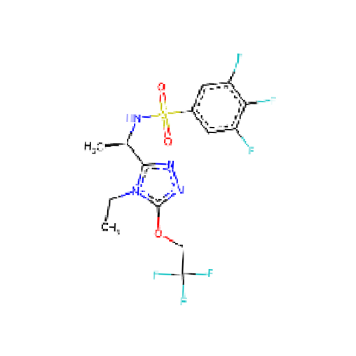 CCn1c(OCC(F)(F)F)nnc1[C@@H](C)NS(=O)(=O)c1cc(F)c(F)c(F)c1